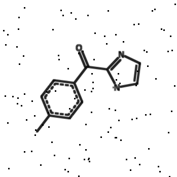 Cc1ccc(C(=O)C2=NC=C[N]2)cc1